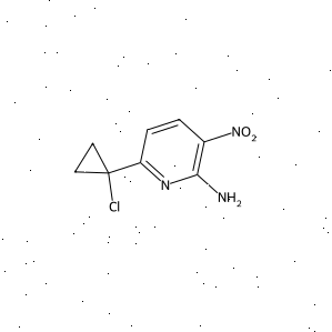 Nc1nc(C2(Cl)CC2)ccc1[N+](=O)[O-]